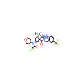 CC(C)[C@]1(C(=O)NCc2cc(C(F)(F)F)ccc2N)CC[C@@H](N(C(=O)C(F)(F)F)C2CCOCC2)C1